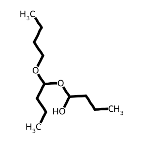 CCCCOC(CCC)OC(O)CCC